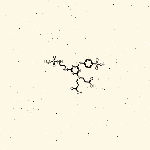 CS(=O)(=O)NCCNc1nc(Nc2ccc(S(=O)(=O)O)cc2)nc(N(CCC(=O)O)CCC(=O)O)n1